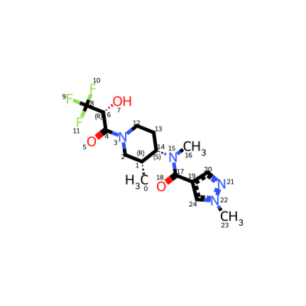 C[C@@H]1CN(C(=O)[C@@H](O)C(F)(F)F)CC[C@@H]1N(C)C(=O)c1cnn(C)c1